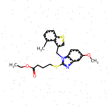 CCOC(=O)CCCSc1nc2cc(OC)ccc2n1Cc1csc2cccc(C)c12